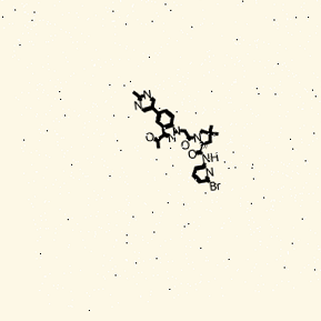 CC(=O)c1nn(CC(=O)N2CC(C)(C)C[C@H]2C(=O)Nc2cccc(Br)n2)c2ccc(-c3cnc(C)nc3)cc12